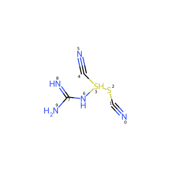 N#CS[SH](C#N)NC(=N)N